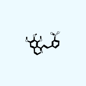 COc1cc2ccnc(C=Cc3cccc([N+](=O)[O-])c3)c2c(OC)c1OC